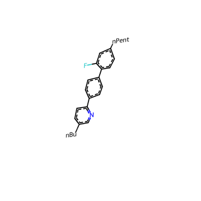 CCCCCc1ccc(-c2ccc(-c3ccc(CCCC)cn3)cc2)c(F)c1